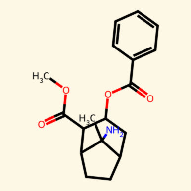 COC(=O)C1C(OC(=O)c2ccccc2)CC2CCC1C2(C)N